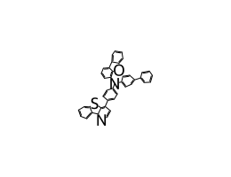 c1ccc(-c2ccc(N(c3ccc(-c4ccnc5c4sc4ccccc45)cc3)c3cccc4c3oc3ccccc34)cc2)cc1